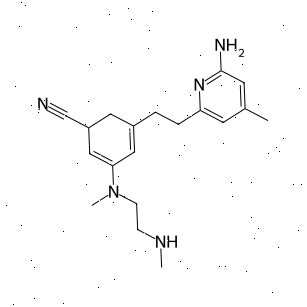 CNCCN(C)C1=CC(C#N)CC(CCc2cc(C)cc(N)n2)=C1